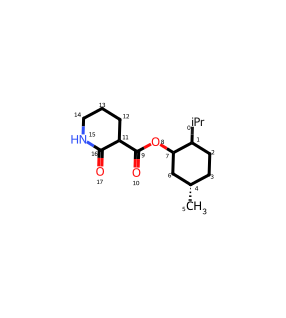 CC(C)C1CC[C@H](C)CC1OC(=O)C1CCCNC1=O